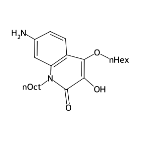 CCCCCCCCn1c(=O)c(O)c(OCCCCCC)c2ccc(N)cc21